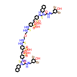 O=C(CN(C(=S)Nc1ccc(/C=C/c2ccc(NC(=S)NCCOCCNC(=S)Nc3ccc(/C=C/c4ccc(NC(=S)N(CC(=O)N/N=C/c5cc(Br)c(O)c(Br)c5)c5ccc6ccccc6c5)cc4S(=O)(=O)O)c(S(=O)(=O)O)c3)cc2S(=O)(=O)O)c(S(=O)(=O)O)c1)c1ccc2ccccc2c1)N/N=C/c1cc(Br)c(O)c(Br)c1